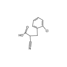 N#CC(Cc1ccccc1Cl)C(=O)O